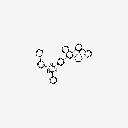 c1ccc(-c2cccc(-c3nc(-c4ccccc4)nc(-c4ccc(-c5ccc(-c6cccc7c6C6(CCCCC6)c6ccccc6-7)c6ccccc56)cc4)n3)c2)cc1